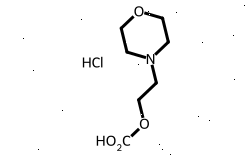 Cl.O=C(O)OCCN1CCOCC1